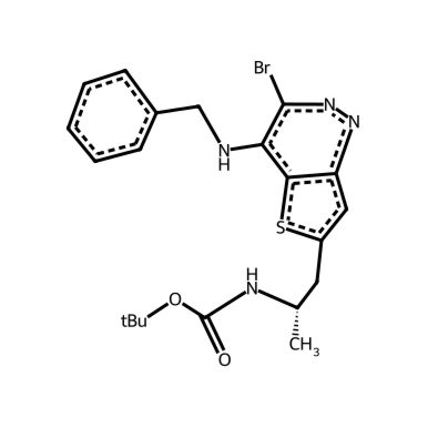 C[C@@H](Cc1cc2nnc(Br)c(NCc3ccccc3)c2s1)NC(=O)OC(C)(C)C